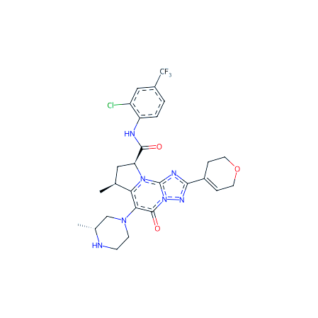 C[C@@H]1CN(c2c3n(c4nc(C5=CCOCC5)nn4c2=O)[C@H](C(=O)Nc2ccc(C(F)(F)F)cc2Cl)C[C@@H]3C)CCN1